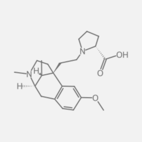 COc1ccc2c(c1)[C@@]1(CCN3CCC[C@@H]3C(=O)O)CCN(C)[C@H](C2)[C@@H]1C